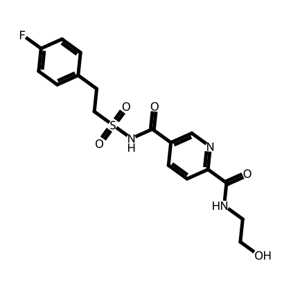 O=C(NS(=O)(=O)CCc1ccc(F)cc1)c1ccc(C(=O)NCCO)nc1